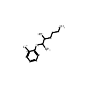 NCCCC(O)C(N)Oc1ccccc1Cl